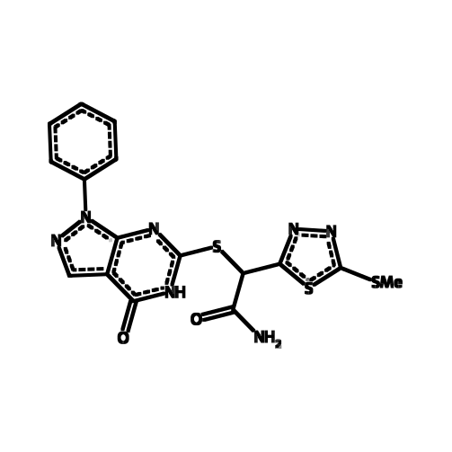 CSc1nnc(C(Sc2nc3c(cnn3-c3ccccc3)c(=O)[nH]2)C(N)=O)s1